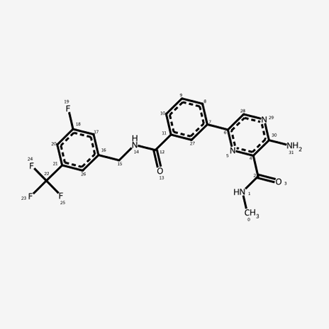 CNC(=O)c1nc(-c2cccc(C(=O)NCc3cc(F)cc(C(F)(F)F)c3)c2)cnc1N